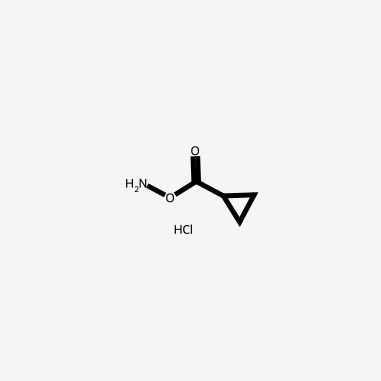 Cl.NOC(=O)C1CC1